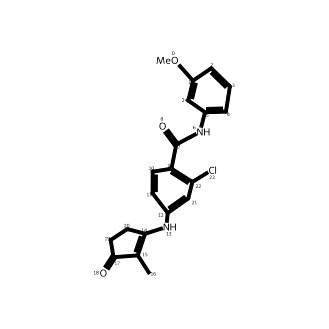 COc1cccc(NC(=O)c2ccc(NC3=C(C)C(=O)CC3)cc2Cl)c1